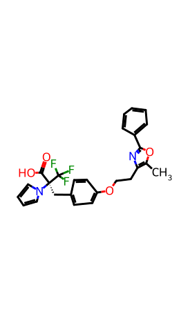 Cc1oc(-c2ccccc2)nc1CCOc1ccc(C[C@@](C(=O)O)(n2cccc2)C(F)(F)F)cc1